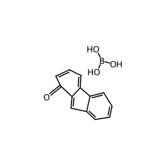 O=C1C=CC=C2C1=Cc1ccccc12.OB(O)O